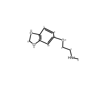 CNCCOc1ccc2c(c1)OCO2